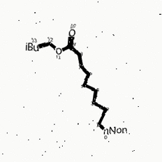 CCCCCCCCCCCCCCCCCC(=O)OCC(C)CC